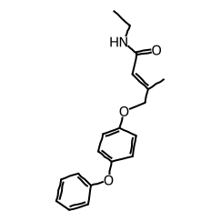 CCNC(=O)C=C(C)COc1ccc(Oc2ccccc2)cc1